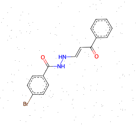 O=C(C=CNNC(=O)c1ccc(Br)cc1)c1ccccc1